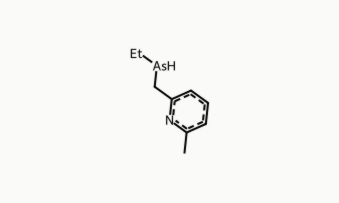 CC[AsH]Cc1cccc(C)n1